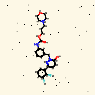 O=C(Nc1cccc(Cn2nc(-c3cccc(F)c3F)ccc2=O)c1)OCCCN1CCOCC1